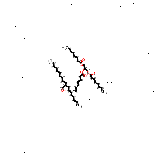 CCCCCCCC(=O)OCC(COC(=O)CCCCCCC)OC(=O)CCCCCCC.CCCCCCCCCCC(CO)CCCCCCCC